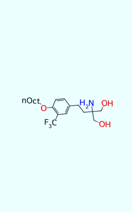 CCCCCCCCOc1ccc(CCC(N)(CO)CO)cc1C(F)(F)F